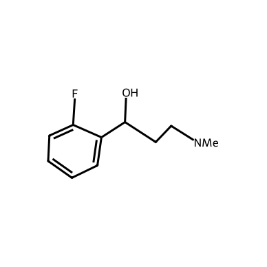 CNCCC(O)c1ccccc1F